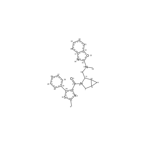 Cc1nc(C(=O)N2CC3CC3C2CN(C)c2nc3ccccc3o2)c(-c2ccccc2)s1